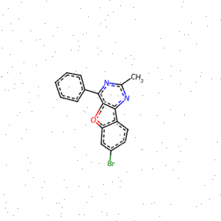 Cc1nc(-c2ccccc2)c2oc3cc(Br)ccc3c2n1